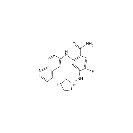 NC(=O)c1cc(F)c(N[C@@H]2CCNC2)nc1Nc1ccc2ncccc2c1